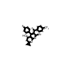 CC(C)c1nc2c(c(-c3ccc(F)cc3)c1C(F)c1ccc(C(F)(F)F)cc1)[C@@H](O)CC1(CC1)O2